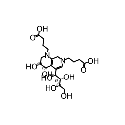 O=C(O)CCCN1C=C([C@H](O)[C@H](O)[C@H](O)CO)C2=C(C1)N(CCCC(=O)O)C[C@@H](O)[C@H]2O